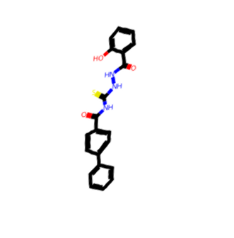 O=C(NC(=S)NNC(=O)c1ccccc1O)c1ccc(-c2ccccc2)cc1